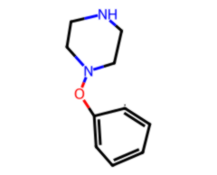 [c]1ccccc1ON1CCNCC1